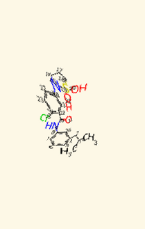 CC(C)Cc1cccc(NC(=O)c2cc(N3CCCS3(O)O)ccc2Cl)c1